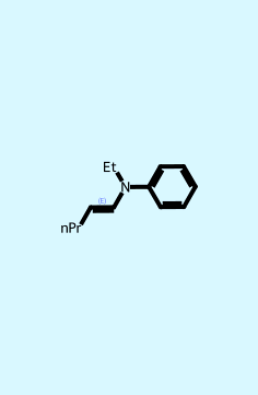 CCC/C=C/N(CC)c1ccccc1